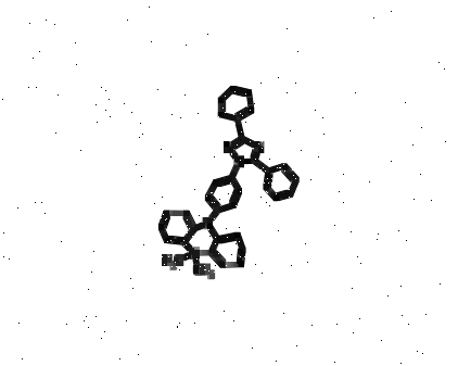 C[Si]1(C)c2ccccc2N(c2ccc(-n3nc(-c4ccccc4)nc3-c3ccccc3)cc2)c2ccccc21